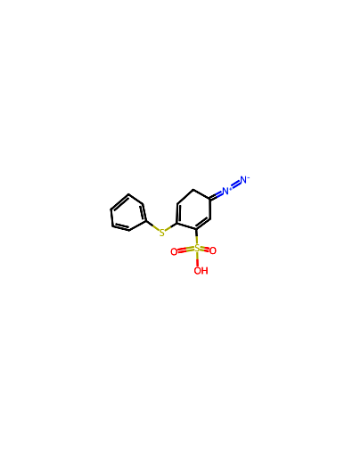 [N-]=[N+]=C1C=C(S(=O)(=O)O)C(Sc2ccccc2)=CC1